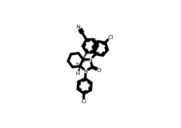 N#Cc1cccc([C@]23CCCC[C@H]2N(c2ccc(Cl)cc2)C(=O)N3c2ccc(Cl)cc2)c1